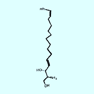 CCC/C=C\CCCCCCCC/C=C/[C@@H](O)C(N)CO